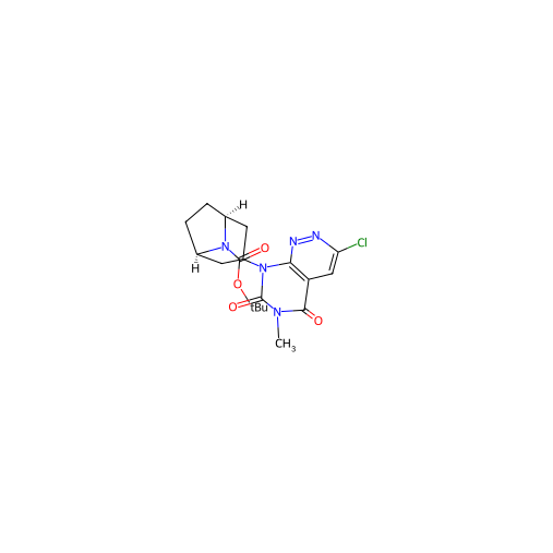 Cn1c(=O)c2cc(Cl)nnc2n(C2C[C@H]3CC[C@@H](C2)N3C(=O)OC(C)(C)C)c1=O